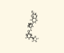 Fc1ccc(-n2cc(COc3nccc(N4CCCC4)n3)nn2)cc1OC(F)F